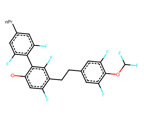 CCCc1cc(F)c(-c2c([O])cc(F)c(CCc3cc(F)c(OC(F)F)c(F)c3)c2F)c(F)c1